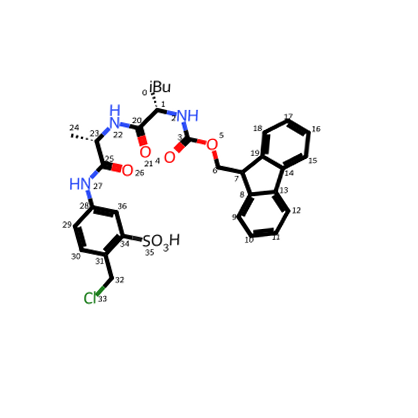 CCC(C)[C@H](NC(=O)OCC1c2ccccc2-c2ccccc21)C(=O)N[C@@H](C)C(=O)Nc1ccc(CCl)c(S(=O)(=O)O)c1